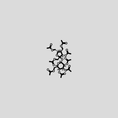 CC(=O)OC[C@@H]1[C@@H](COC(C)=O)O[C@@](COC(C)=O)(O[C@H]2O[C@H](COC(C)=O)[C@@H](OC(C)=O)[C@H](OC(C)=O)[C@H]2OC(C)=O)[C@H]1OC(C)=O